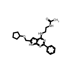 CC(=O)NCCNc1nc(-c2ccccc2)nc2[nH]c(COC3CCCC3)cc12